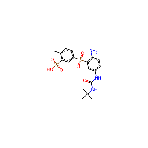 Cc1ccc(S(=O)(=O)c2cc(NC(=O)NC(C)(C)C)ccc2N)cc1S(=O)(=O)O